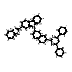 c1ccc(-c2cc(-c3ccccc3)nc(-c3ccc4ccc(-n5c6ccccc6c6ccc(-c7nc8ccccc8o7)cc65)cc4c3)n2)cc1